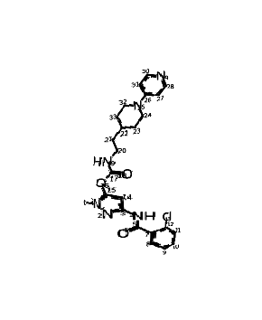 Cn1nc(NC(=O)c2ccccc2Cl)cc1OC(=O)NCCC1CCN(c2ccncc2)CC1